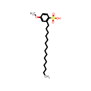 CCCCCCCCCCCCCCCc1cc(OC)ccc1S(=O)(=O)O